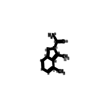 Cc1cccc2nn(C(N)=O)c(C)c12